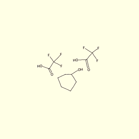 O=C(O)C(F)(F)F.O=C(O)C(F)(F)F.OC1CCCCC1